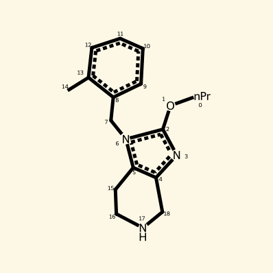 CCCOc1nc2c(n1Cc1ccccc1C)CCNC2